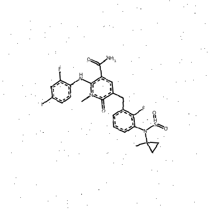 Cn1c(Nc2ccc(I)cc2F)c(C(N)=O)cc(Cc2cccc(N([SH](=O)=O)C3(C)CC3)c2F)c1=O